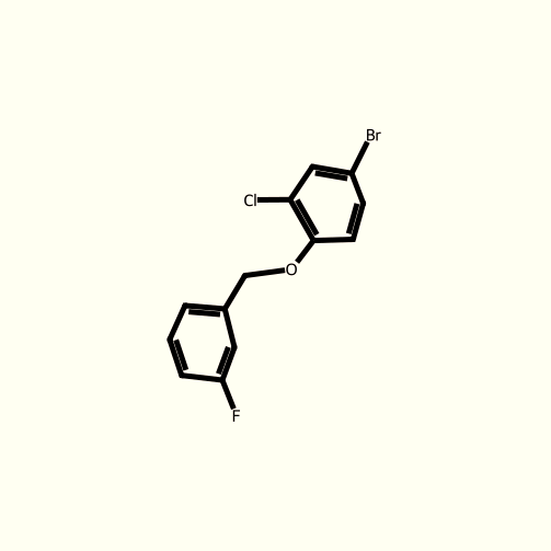 Fc1cccc(COc2ccc(Br)cc2Cl)c1